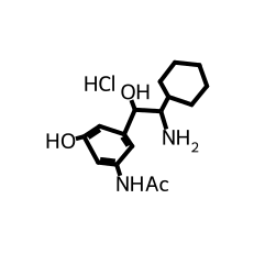 CC(=O)Nc1cc(O)cc(C(O)C(N)C2CCCCC2)c1.Cl